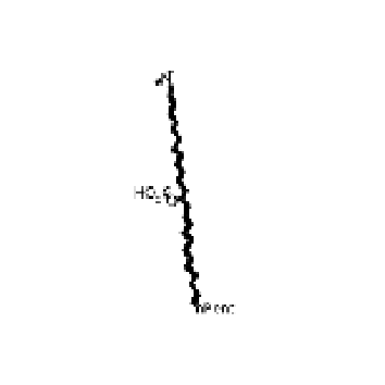 CCCCCC=CCC=CCCCCCCCC(CCCCCCCCCCCCCN(C)C)OC(=O)O